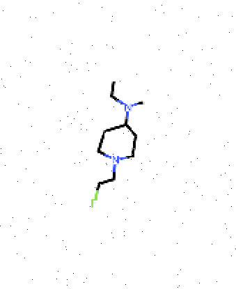 CCN(C)C1CCN(CCF)CC1